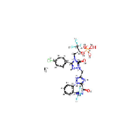 NC(=O)c1nc(Cn2nc(-c3ccc(Cl)cc3)n(C[C@H](OP(=O)([O-])O)C(F)(F)F)c2=O)nn1-c1ccccc1C(F)(F)F.[K+]